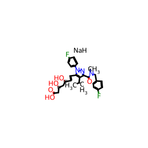 CC(C)c1c(C(=O)N(C)Cc2ccc(F)cc2)nn(-c2ccc(F)cc2)c1C=C[C@H](O)C[C@@H](O)CC(=O)O.[NaH]